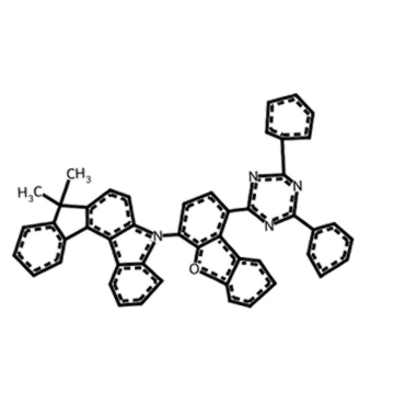 CC1(C)c2ccccc2-c2c1ccc1c2c2ccccc2n1-c1ccc(-c2nc(-c3ccccc3)nc(-c3ccccc3)n2)c2c1oc1ccccc12